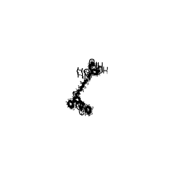 O=C(O)N(Cc1cc(OCCCCCCCCCNC[C@H](O)c2ccc(O)c3[nH]c(=O)ccc23)cc(-c2ccccc2)c1)c1ccccc1